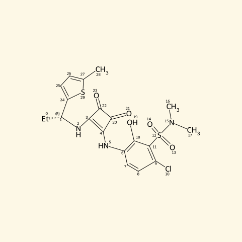 CC[C@@H](Nc1c(Nc2ccc(Cl)c(S(=O)(=O)N(C)C)c2O)c(=O)c1=O)c1ccc(C)s1